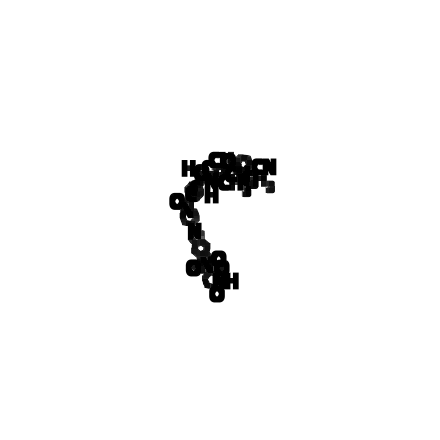 Cc1cc(O[C@H]2C(C)(C)[C@H](NC(=O)C34CCC(C(=O)N5CCC(N6Cc7cc8c(cc7C6)C(=O)N(C6CCC(=O)NC6=O)C8=O)CC5)(CC3)CC4)C2(C)C)ccc1C#N